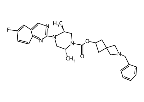 C[C@@H]1CN(c2ncc3cc(F)ccc3n2)[C@@H](C)CN1C(=O)OC1CC2(C1)CN(Cc1ccccc1)C2